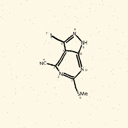 CSc1nc(C#N)c2c(I)n[nH]c2n1